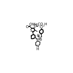 COC(=O)c1sc(-c2cccc(N(C3CCNCC3)S(=O)(=O)Cc3ccc(Cl)cc3)c2)c(C)c1OCC(=O)O